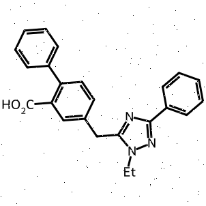 CCn1nc(-c2ccccc2)nc1Cc1ccc(-c2ccccc2)c(C(=O)O)c1